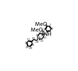 COCC1(Nc2cccc(OC)c2)CCN(CCc2ccccc2)CC1